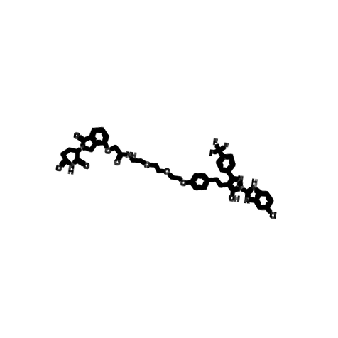 O=C(COc1cccc2c1CN(C1CCC(=O)NC1=O)C2=O)NCCOCCOCCOc1ccc(CCc2c(-c3ccc(C(F)(F)F)cc3)nn(-c3nc4cc(Cl)ccc4[nH]3)c2O)cc1